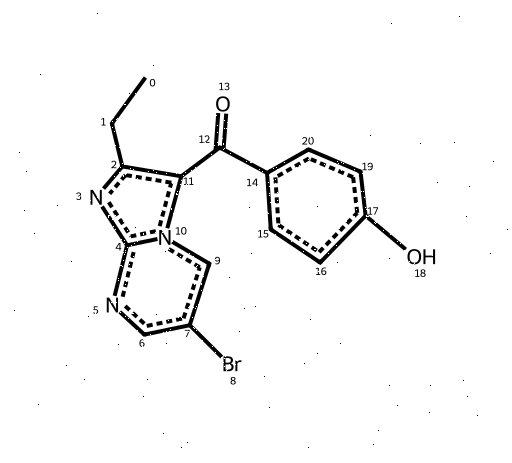 CCc1nc2ncc(Br)cn2c1C(=O)c1ccc(O)cc1